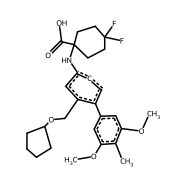 COc1cc(-c2ccc(NC3(C(=O)O)CCC(F)(F)CC3)cc2COC2CCCC2)cc(OC)c1C